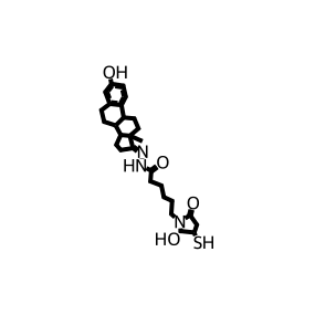 CC12CCC3c4ccc(O)cc4CCC3C1CC/C2=N\NC(=O)CCCCCN1C(=O)CC(S)[C@H]1O